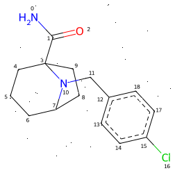 NC(=O)C12C[CH]CC(CC1)N2Cc1ccc(Cl)cc1